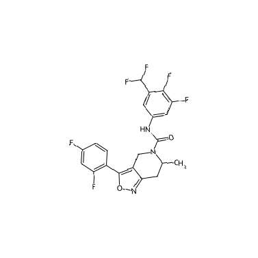 CC1Cc2noc(-c3ccc(F)cc3F)c2CN1C(=O)Nc1cc(F)c(F)c(C(F)F)c1